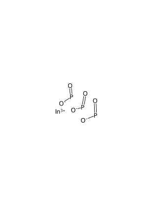 O=P[O-].O=P[O-].O=P[O-].[In+3]